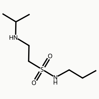 CCCNS(=O)(=O)CCNC(C)C